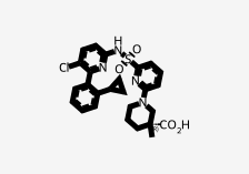 C[C@@]1(C(=O)O)CCCN(c2cccc(S(=O)(=O)Nc3ccc(Cl)c(-c4ccccc4C4CC4)n3)n2)C1